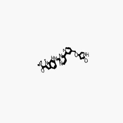 CN(C)C(=O)c1cc2ccc(Nc3nccc(-c4cc(COC5CNC(=O)C5)ccn4)n3)cc2n1C